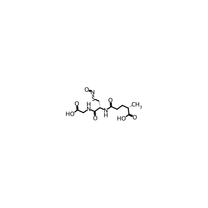 C[C@@H](CCC(=O)N[C@@H](CSN=O)C(=O)NCC(=O)O)C(=O)O